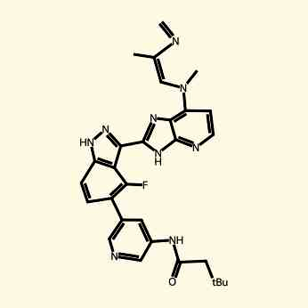 C=N/C(C)=C\N(C)c1ccnc2[nH]c(-c3n[nH]c4ccc(-c5cncc(NC(=O)CC(C)(C)C)c5)c(F)c34)nc12